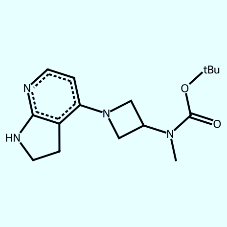 CN(C(=O)OC(C)(C)C)C1CN(c2ccnc3c2CCN3)C1